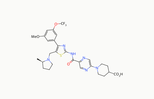 COc1cc(OC(F)(F)F)cc(-c2nc(NC(=O)c3cnc(N4CCC(C(=O)O)CC4)cn3)sc2CN2CCC[C@H]2C)c1